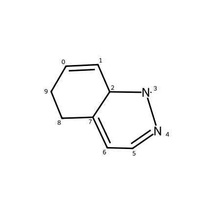 C1=CC2[N]N=CC=C2CC1